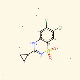 O=S1(=O)N=C(C2CC2)Nc2cc(Cl)c(Cl)cc21